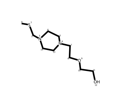 CSCN1CCN(CCOCCO)CC1